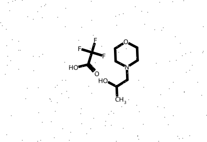 CC(O)CN1CCOCC1.O=C(O)C(F)(F)F